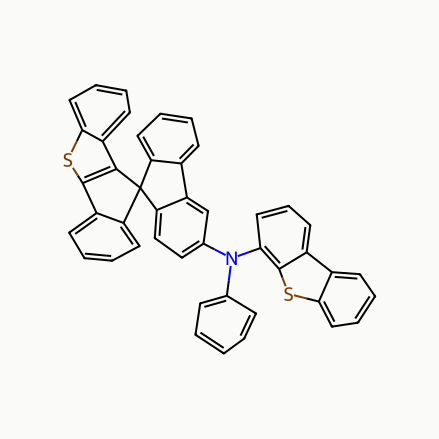 c1ccc(N(c2ccc3c(c2)-c2ccccc2C32c3ccccc3-c3sc4ccccc4c32)c2cccc3c2sc2ccccc23)cc1